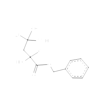 CCC(C)(CC(C)(C)C(=O)OCc1ccccc1)C(=O)O